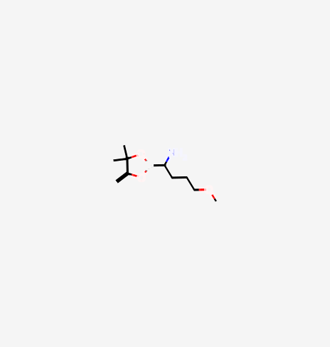 C=C1OB(C(N)CCCOC)OC1(C)C